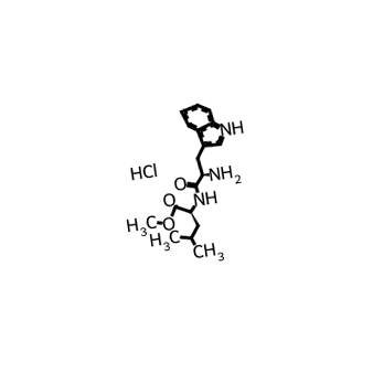 COC(=O)[C@H](CC(C)C)NC(=O)[C@H](N)Cc1c[nH]c2ccccc12.Cl